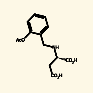 CC(=O)Oc1ccccc1CN[C@@H](CC(=O)O)C(=O)O